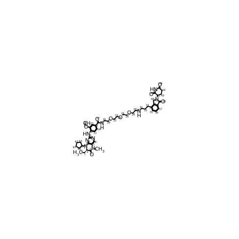 CC[C@@H]1C(=O)N(C)c2cnc(Nc3ccc(C(=O)NCCOCCOCCOCCNCCCc4cccc5c4CN(C4CCC(=O)NC4=O)C5=O)cc3OC)nc2N1C1CCCC1